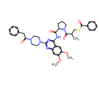 COc1cc2nc(N3CCN(C(=O)Cc4ccccc4)CC3)nc(NC(=O)C3CCCN3C(=O)C(C)CSC(=O)c3ccccc3)c2cc1OC